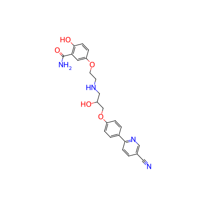 N#Cc1ccc(-c2ccc(OCC(O)CNCCOc3ccc(O)c(C(N)=O)c3)cc2)nc1